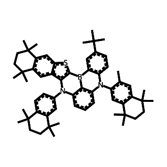 Cc1cc2c(cc1N1c3ccc(C(C)(C)C)cc3B3c4sc5cc6c(cc5c4N(c4ccc5c(c4)C(C)(C)CCC5(C)C)c4cccc1c43)C(C)(C)CCC6(C)C)C(C)(C)CCC2(C)C